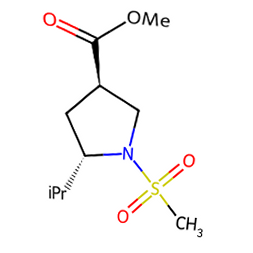 COC(=O)[C@@H]1C[C@@H](C(C)C)N(S(C)(=O)=O)C1